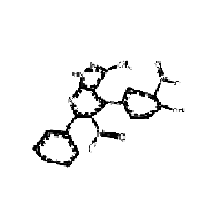 Cc1n[nH]c2nc(-c3ccccc3)c([N+](=O)[O-])c(-c3ccc(O)c([N+](=O)[O-])c3)c12